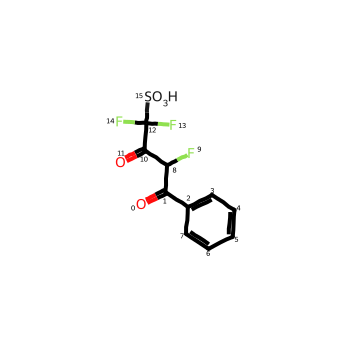 O=C(c1ccccc1)C(F)C(=O)C(F)(F)S(=O)(=O)O